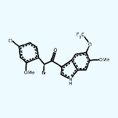 COc1cc2[nH]cc(C(=O)C(Br)c3ccc(Cl)cc3OC)c2cc1OC(F)(F)F